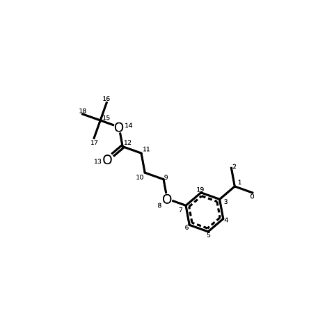 CC(C)c1cccc(OCCCC(=O)OC(C)(C)C)c1